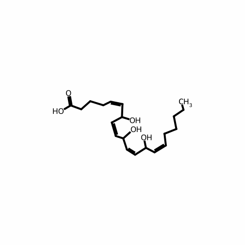 CCCCC/C=C\C(O)/C=C\C(O)/C=C\C(O)/C=C\CCCC(=O)O